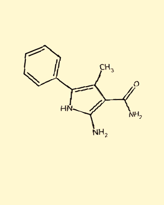 Cc1c(-c2ccccc2)[nH]c(N)c1C(N)=O